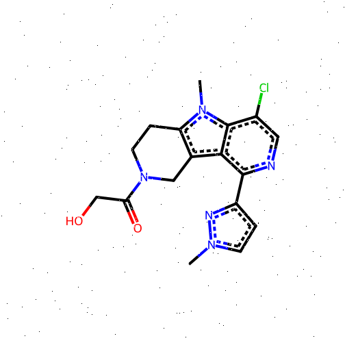 Cn1ccc(-c2ncc(Cl)c3c2c2c(n3C)CCN(C(=O)CO)C2)n1